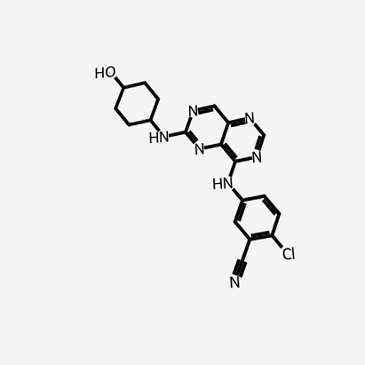 N#Cc1cc(Nc2ncnc3cnc(NC4CCC(O)CC4)nc23)ccc1Cl